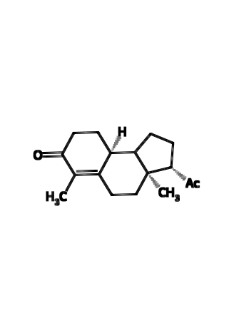 CC(=O)[C@H]1CCC2[C@@H]3CCC(=O)C(C)=C3CC[C@@]21C